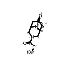 CC(C)(C)OC(=O)N1CC2CC(=O)CC(C1)N2C(=O)O